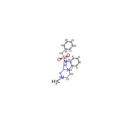 CN1CCN(c2ccccc2NS(=O)(=O)Cc2ccccc2)CC1